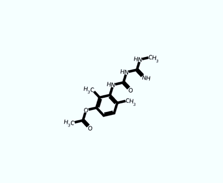 CNC(=N)NC(=O)Nc1c(C)ccc(OC(C)=O)c1C